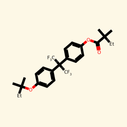 CCC(C)(C)Oc1ccc(C(c2ccc(OC(=O)C(C)(C)CC)cc2)(C(F)(F)F)C(F)(F)F)cc1